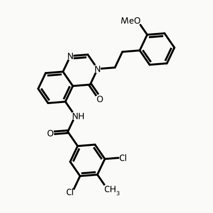 COc1ccccc1CCn1cnc2cccc(NC(=O)c3cc(Cl)c(C)c(Cl)c3)c2c1=O